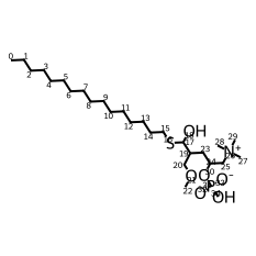 CCCCCCCCCCCCCCCCSC(O)C(COC)CC(C[N+](C)(C)C)OP(=O)([O-])O